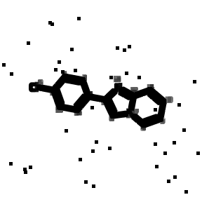 Clc1ccc(-c2cn3ccccc3n2)cc1